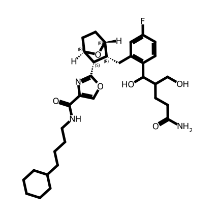 NC(=O)CCC(CO)C(O)c1ccc(F)cc1C[C@@H]1[C@H](c2nc(C(=O)NCCCCC3CCCCC3)co2)[C@H]2CC[C@H]1O2